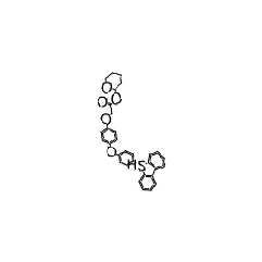 O=C(COc1ccc(Oc2ccc([SH]3c4ccccc4-c4ccccc43)cc2)cc1)OC1CCCCO1